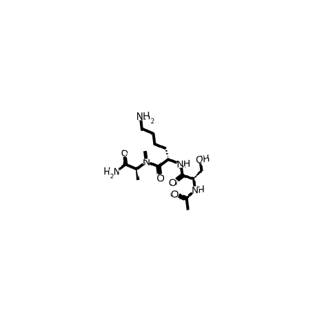 CC(=O)N[C@H](CO)C(=O)N[C@@H](CCCCN)C(=O)N(C)[C@@H](C)C(N)=O